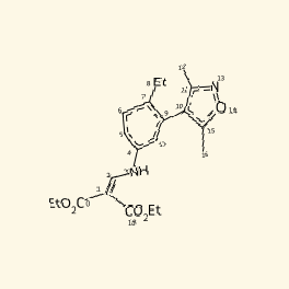 CCOC(=O)C(=CNc1ccc(CC)c(-c2c(C)noc2C)c1)C(=O)OCC